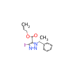 C=CCOC(=O)c1c(I)nnn1[C@H](C)c1ccccc1